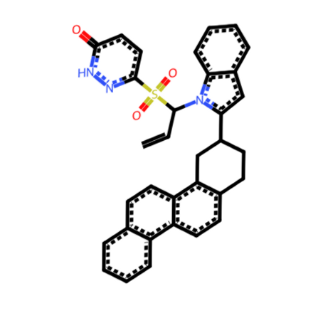 C=CC(n1c(C2CCc3ccc4c(ccc5ccccc54)c3C2)cc2ccccc21)S(=O)(=O)c1ccc(=O)[nH]n1